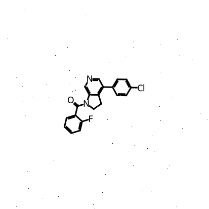 O=C(c1ccccc1F)N1CCc2c(-c3ccc(Cl)cc3)cncc21